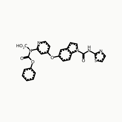 O=C(O)N(C(=O)Oc1ccccc1)c1cc(Oc2ccc3c(ccn3C(=O)Nc3nccs3)c2)ccn1